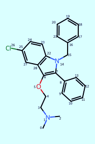 CN(C)CCOc1c(-c2ccccc2)n(Cc2ccccc2)c2ccc(Cl)cc12